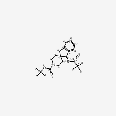 CC(C)(C)OC(=O)N1CCC2(CC1)Cc1cnccc1C2N[S@+]([O-])C(C)(C)C